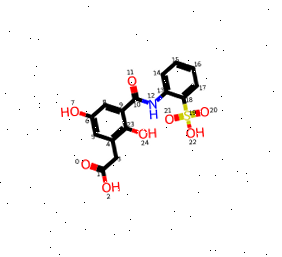 O=C(O)Cc1cc(O)cc(C(=O)Nc2ccccc2S(=O)(=O)O)c1O